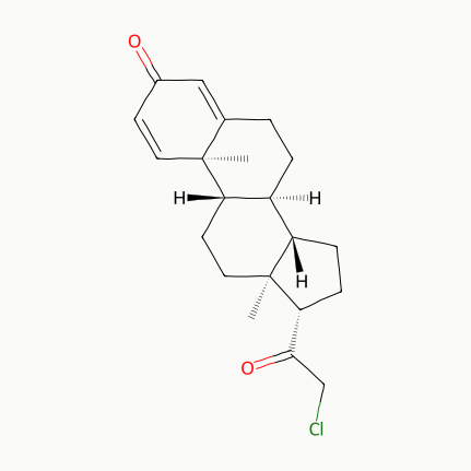 C[C@]12CC[C@H]3[C@@H](CCC4=CC(=O)C=C[C@@]43C)[C@@H]1CC[C@@H]2C(=O)CCl